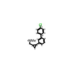 CNCC1CC1c1cccc(-c2ccc(Cl)cc2)c1